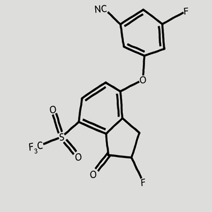 N#Cc1cc(F)cc(Oc2ccc(S(=O)(=O)C(F)(F)F)c3c2CC(F)C3=O)c1